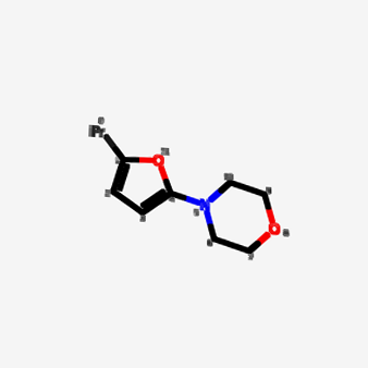 CC(C)c1ccc(N2CCOCC2)o1